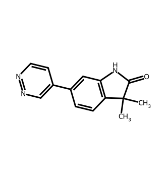 CC1(C)C(=O)Nc2cc(-c3ccnnc3)ccc21